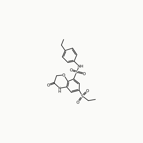 CCc1ccc(NS(=O)(=O)c2cc(S(=O)(=O)CC)cc3c2OCC(=O)N3)cc1